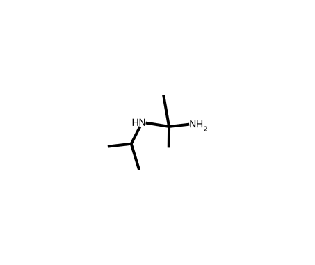 CC(C)NC(C)(C)N